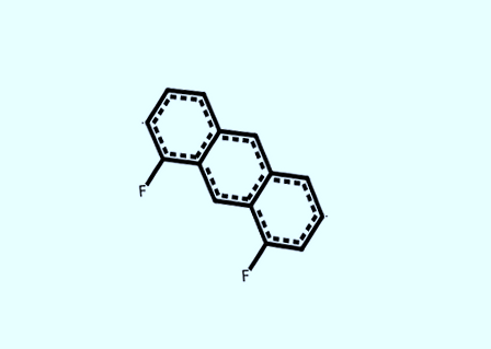 Fc1[c]ccc2cc3c[c]cc(F)c3cc12